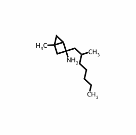 CCCCCC(C)CC1(N)CC2(C)CC21